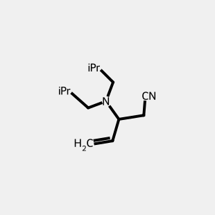 C=CC(CC#N)N(CC(C)C)CC(C)C